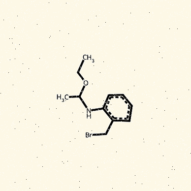 CCOC(C)Nc1ccccc1CBr